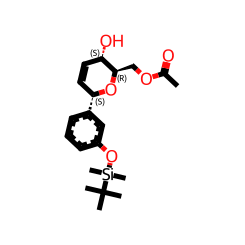 CC(=O)OC[C@H]1O[C@H](c2cccc(O[Si](C)(C)C(C)(C)C)c2)C=C[C@@H]1O